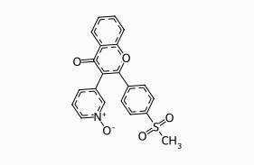 CS(=O)(=O)c1ccc(-c2oc3ccccc3c(=O)c2-c2ccc[n+]([O-])c2)cc1